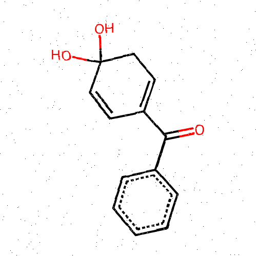 O=C(C1=CCC(O)(O)C=C1)c1ccccc1